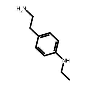 CCNc1ccc(CCN)cc1